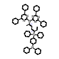 C=C/C(=C\C=C(/C)N(c1nc(-c2ccccc2)cc(-c2ccccc2)n1)c1nc(-c2ccccc2)nc(-c2ccccc2)n1)[Si](c1ccccc1)(c1ccccc1)c1ccc(N(c2ccccc2)c2ccccc2)cc1